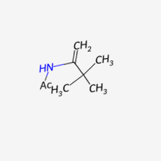 C=C(NC(C)=O)C(C)(C)C